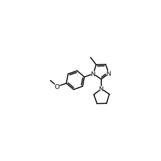 COc1ccc(-n2c(C)cnc2N2CCCC2)cc1